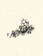 CNc1cnc2ccccc2c1C(C)C1(C(C)c2c(NC)cnc3ccccc23)NC(=O)N(c2ccc(S(=O)(=O)C(F)(F)F)cc2)C1=O